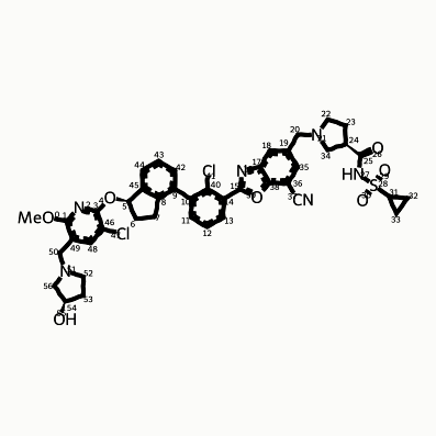 COc1nc(O[C@@H]2CCc3c(-c4cccc(-c5nc6cc(CN7CC[C@@H](C(=O)NS(=O)(=O)C8CC8)C7)cc(C#N)c6o5)c4Cl)cccc32)c(Cl)cc1CN1CC[C@@H](O)C1